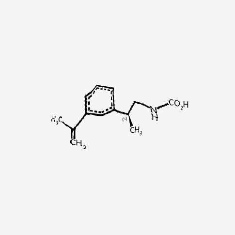 C=C(C)c1cccc([C@H](C)CNC(=O)O)c1